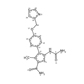 Cc1c(C(N)=O)sc(NC(N)=O)c1-c1ccc(OCc2cscn2)cc1